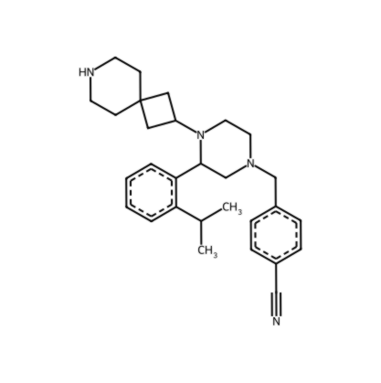 CC(C)c1ccccc1C1CN(Cc2ccc(C#N)cc2)CCN1C1CC2(CCNCC2)C1